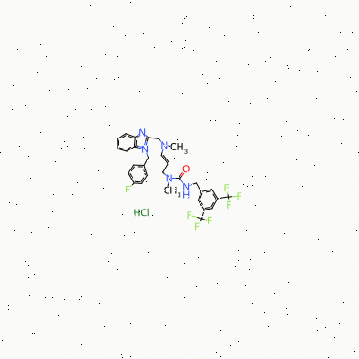 CN(C=CCN(C)C(=O)NCc1cc(C(F)(F)F)cc(C(F)(F)F)c1)Cc1nc2ccccc2n1Cc1ccc(F)cc1.Cl